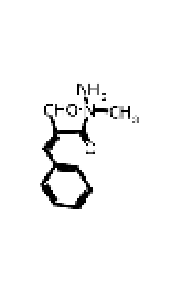 CN(N)C(=O)C([C]=O)=Cc1ccccc1